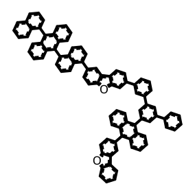 c1ccc(-c2cc(-c3cccc(-c4ccc5c(c4)oc4ccc(-c6cccc7c(-c8c9ccccc9c(-c9cccc%10ccccc9%10)c9ccccc89)cccc67)cc45)c3)cc(-c3c4ccccc4c(-c4ccc5oc6ccccc6c5c4)c4ccccc34)c2)cc1